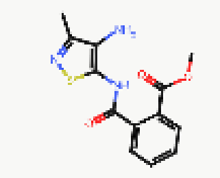 COC(=O)c1ccccc1C(=O)Nc1snc(C)c1N